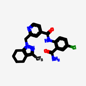 NC(=O)c1cc(Cl)ccc1NC(=O)c1ccnc(Cn2nc(C(F)(F)F)c3c2CCCC3)c1